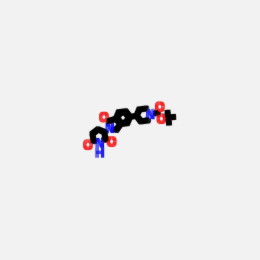 CC(C)(C)OC(=O)N1CCC(c2ccc3c(c2)CN(C2CCC(=O)NC2=O)C3=O)CC1